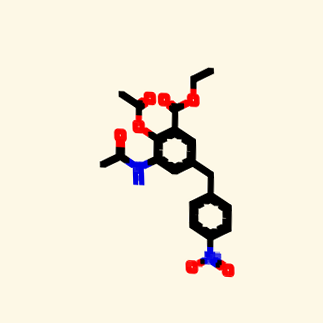 CCOC(=O)c1cc(Cc2ccc([N+](=O)[O-])cc2)cc(NC(C)=O)c1OC(C)=O